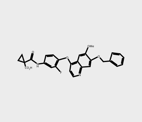 COc1cc2c(Oc3ccc(NC(=O)C4(C(=O)O)CC4)cc3F)ccnc2cc1OCc1ccccc1